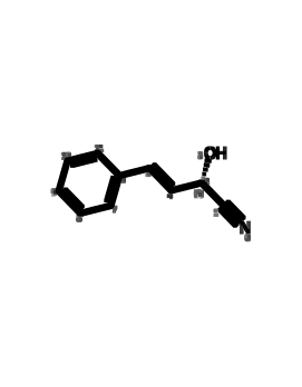 N#C[C@@H](O)C=Cc1ccccc1